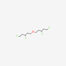 FCCC(F)CCOCCC(F)CCF